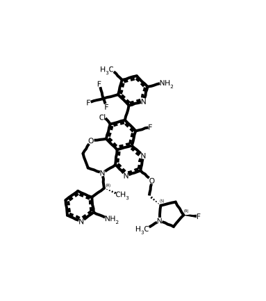 Cc1cc(N)nc(-c2c(Cl)c3c4c(nc(OC[C@@H]5C[C@@H](F)CN5C)nc4c2F)N([C@H](C)c2cccnc2N)CCO3)c1C(F)(F)F